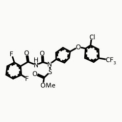 COC(=O)SN(C(=O)NC(=O)c1c(F)cccc1F)c1ccc(Oc2ccc(C(F)(F)F)cc2Cl)cc1